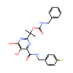 CC(C)(OC(=O)NCc1ccccc1)c1nc(O)c(O)c(C(=O)NCc2ccc(F)cc2)n1